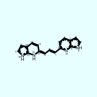 C(=Cc1ccc2cc[nH]c2n1)/C=C1\C=Cc2cc[nH]c2N1